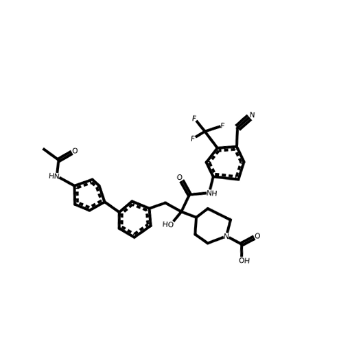 CC(=O)Nc1ccc(-c2cccc(CC(O)(C(=O)Nc3ccc(C#N)c(C(F)(F)F)c3)C3CCN(C(=O)O)CC3)c2)cc1